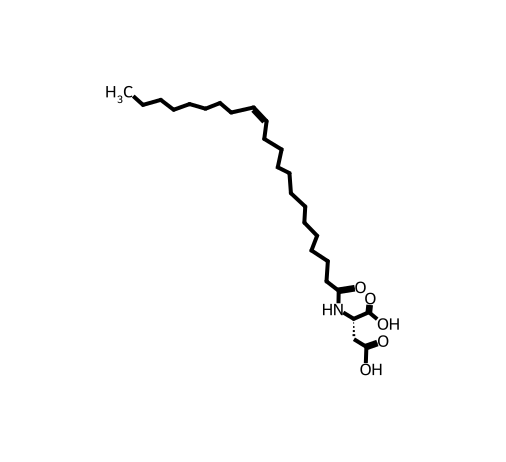 CCCCCCCC/C=C\CCCCCCCCCCCC(=O)N[C@@H](CC(=O)O)C(=O)O